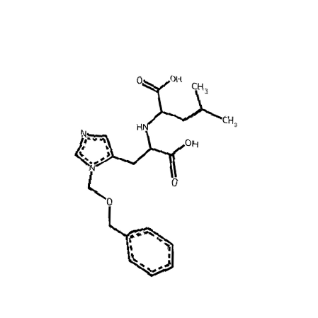 CC(C)CC(NC(Cc1cncn1COCc1ccccc1)C(=O)O)C(=O)O